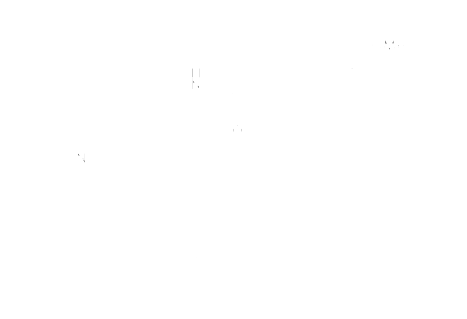 COC(=O)CCCC(=O)NC1CCC(Cc2ccc(C)cc2)(N(C)C)CC1